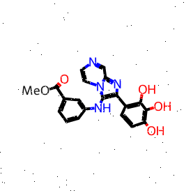 COC(=O)c1cccc(Nc2c(-c3ccc(O)c(O)c3O)nc3cnccn23)c1